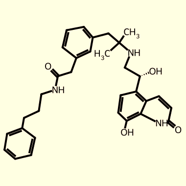 CC(C)(Cc1cccc(CC(=O)NCCCc2ccccc2)c1)NC[C@H](O)c1ccc(O)c2[nH]c(=O)ccc12